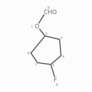 O=COC1CCC(F)CC1